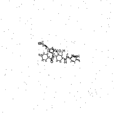 C=C1C=CC(N(C)N[C@H]2CC[C@@H](N(C(=O)C3CCC(C)CC3)c3cc(C#CC(C)(C)C)sc3C(=O)O)CC2)=NN1